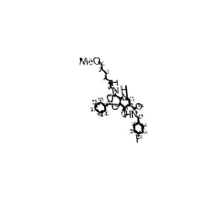 COCCCCCCNC(=O)c1[nH]cc(C(=O)NCc2ccc(F)cc2)c(=O)c1OCc1ccccc1